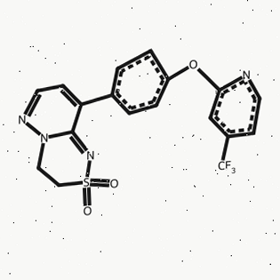 O=S1(=O)CCN2N=CC=C(c3ccc(Oc4cc(C(F)(F)F)ccn4)cc3)C2=N1